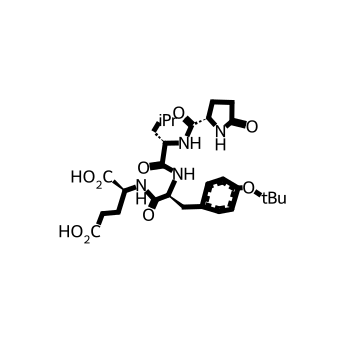 CC(C)C[C@H](NC(=O)[C@@H]1CCC(=O)N1)C(=O)N[C@@H](Cc1ccc(OC(C)(C)C)cc1)C(=O)N[C@@H](CCC(=O)O)C(=O)O